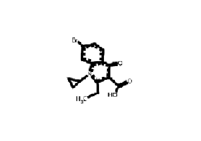 CCc1c(C(=O)O)c(=O)c2ccc(Br)cc2n1C1CC1